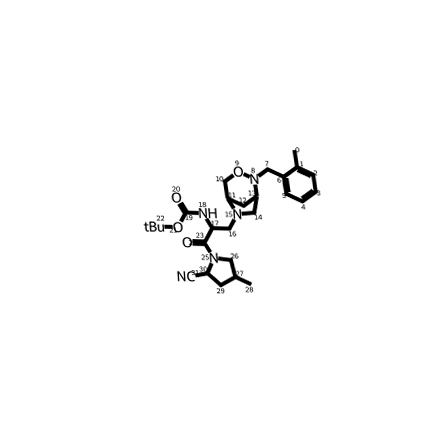 Cc1ccccc1CN1OCC2CC1CN2CC(NC(=O)OC(C)(C)C)C(=O)N1CC(C)CC1C#N